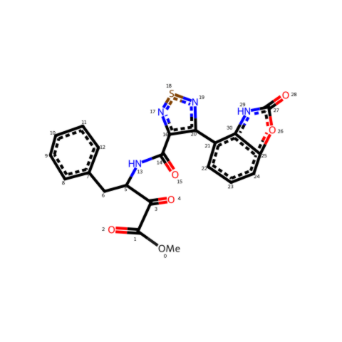 COC(=O)C(=O)C(Cc1ccccc1)NC(=O)c1nsnc1-c1cccc2oc(=O)[nH]c12